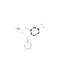 CC(C)(C)/[N+](O)=C/c1cc([N+](=O)[O-])ccc1SC1CCCC1